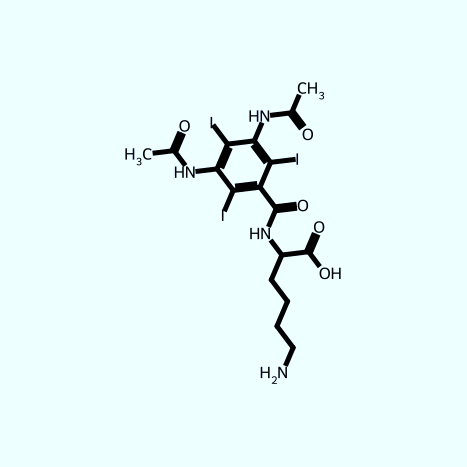 CC(=O)Nc1c(I)c(NC(C)=O)c(I)c(C(=O)NC(CCCCN)C(=O)O)c1I